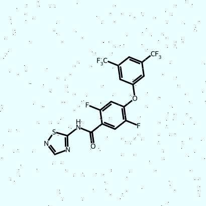 O=C(Nc1ncns1)c1cc(F)c(Oc2cc(C(F)(F)F)cc(C(F)(F)F)c2)cc1F